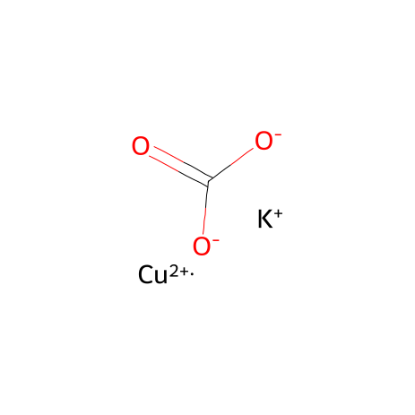 O=C([O-])[O-].[Cu+2].[K+]